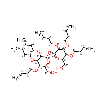 CCCCOC1C(OCCCC)[C@H](OCCCC)C(CO)O[C@@H]1O[C@H]1OC(CO)[C@@H](OCCCC)C(OCCCC)C1OCCCC